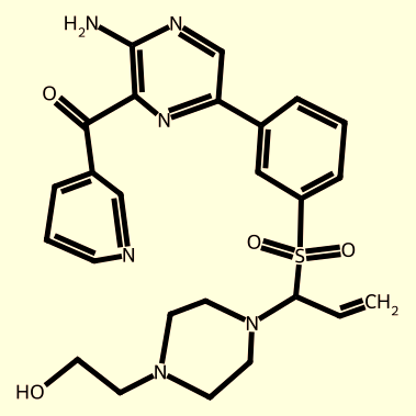 C=CC(N1CCN(CCO)CC1)S(=O)(=O)c1cccc(-c2cnc(N)c(C(=O)c3cccnc3)n2)c1